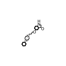 O=C1CNc2ccc(OCCCN3CCN(c4ccccc4)CC3)cc21